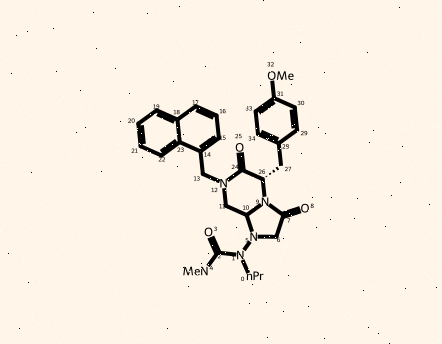 CCCN(C(=O)NC)N1CC(=O)N2C1CN(Cc1cccc3ccccc13)C(=O)[C@@H]2Cc1ccc(OC)cc1